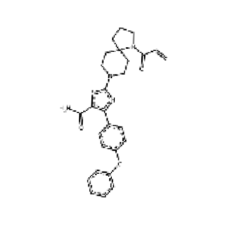 C=CC(=O)N1CCCC12CCN(c1nc(-c3ccc(Oc4ccccc4)cc3)c(C(N)=O)s1)CC2